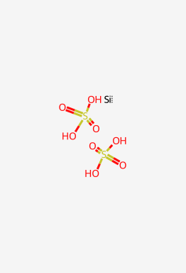 O=S(=O)(O)O.O=S(=O)(O)O.[Si]